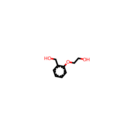 OCCOc1ccccc1CO